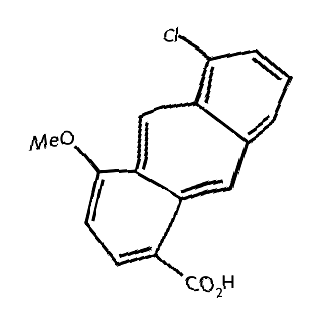 COc1ccc(C(=O)O)c2cc3cccc(Cl)c3cc12